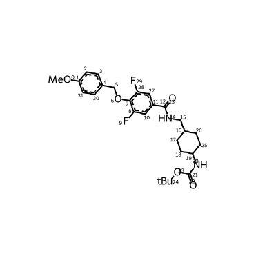 COc1ccc(COc2c(F)cc(C(=O)NCC3CCC(NC(=O)OC(C)(C)C)CC3)cc2F)cc1